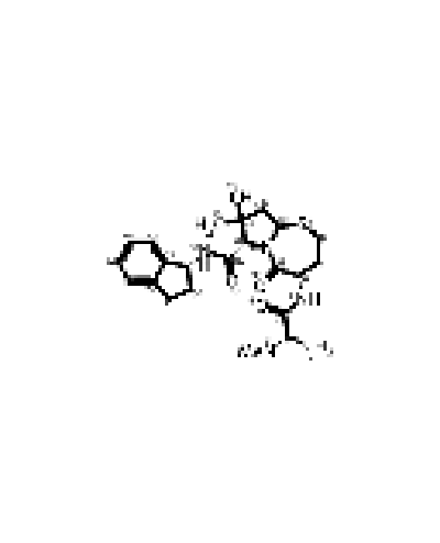 CN[C@@H](C)C(=O)N[C@H]1CCSC2CC(C)(C)[C@@H](C(=O)N[C@@H]3CCc4ccccc43)N2C1=O